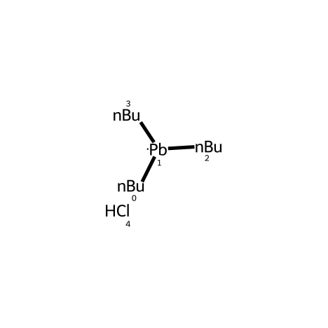 CCC[CH2][Pb]([CH2]CCC)[CH2]CCC.Cl